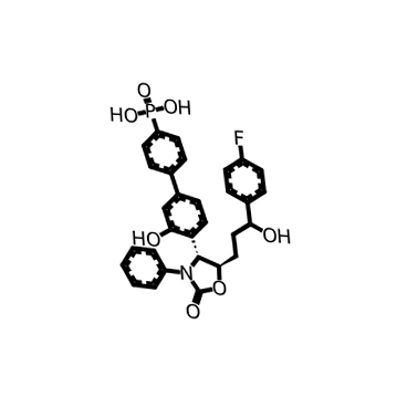 O=C1O[C@H](CCC(O)c2ccc(F)cc2)[C@@H](c2ccc(-c3ccc(P(=O)(O)O)cc3)cc2O)N1c1ccccc1